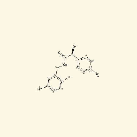 CC[C@H](C(=O)NCc1cc(Br)ccc1F)c1ccc(Br)cc1